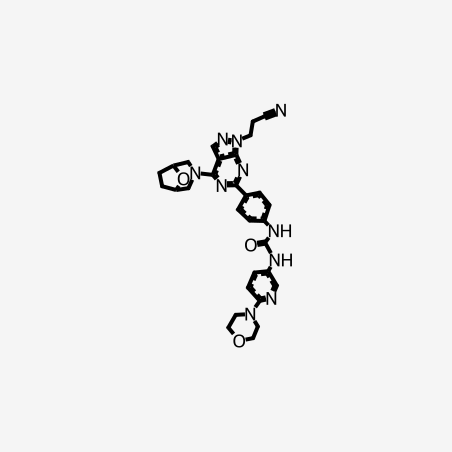 N#CCCn1ncc2c(N3CC4CCC(C3)O4)nc(-c3ccc(NC(=O)Nc4ccc(N5CCOCC5)nc4)cc3)nc21